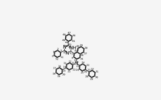 c1ccc(C2=NC(c3cc(N(c4ccc(-c5ccccc5)cc4)c4ccc(-c5ccccc5)cc4)cc4ccccc34)NC(c3ccccc3)=N2)cc1